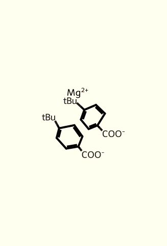 CC(C)(C)c1ccc(C(=O)[O-])cc1.CC(C)(C)c1ccc(C(=O)[O-])cc1.[Mg+2]